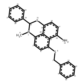 CN1c2ccc(SCc3ccccc3)c3c(N)ccc(c23)SC1c1ccccc1